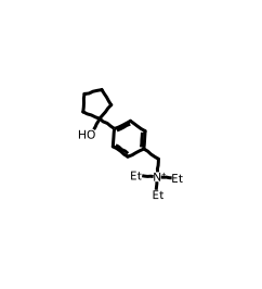 CC[N+](CC)(CC)Cc1ccc(C2(O)CCCC2)cc1